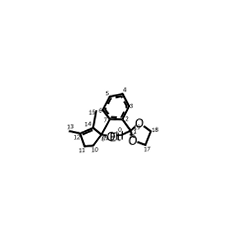 CCC1(c2ccccc2C2(O)CCC(C)=C2C)OCCO1